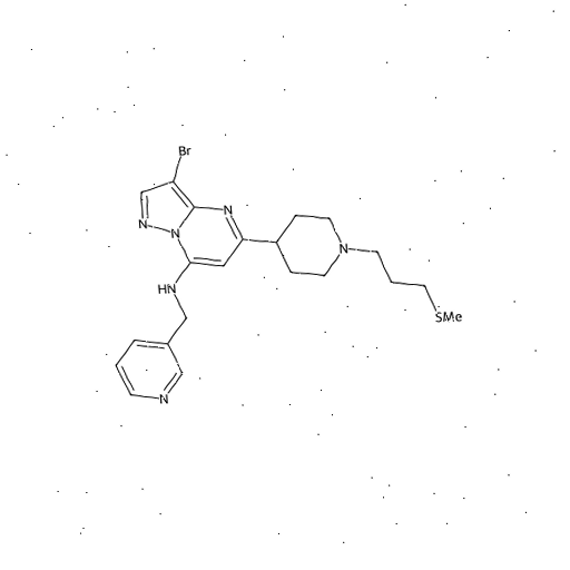 CSCCCN1CCC(c2cc(NCc3cccnc3)n3ncc(Br)c3n2)CC1